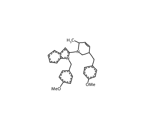 COc1ccc(CC2C=CC(C)N(c3cc4ccccc4n3Cc3ccc(OC)cc3)C2)cc1